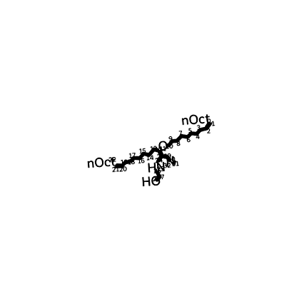 CCCCCCCC/C=C\CCCCCCCCOC(CCCCCCC/C=C\CCCCCCCC)=C(CNCCO)CN(C)C